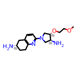 COCCO[C@H]1CN(c2ccc3c(n2)CC[C@H](N)C3)C[C@@H]1N